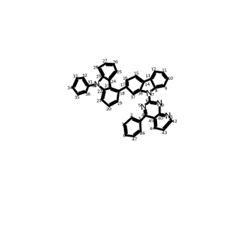 c1ccc(-c2nc(-n3c4ccccc4c4ccc(-c5cccc6c5c5ccccc5n6-c5ccccc5)cc43)nc3ncccc23)cc1